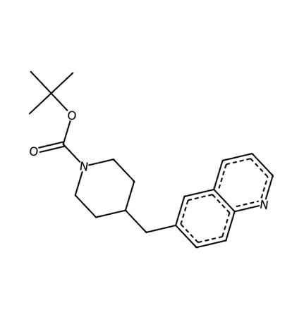 CC(C)(C)OC(=O)N1CCC(Cc2ccc3ncccc3c2)CC1